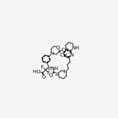 CC1(C)CN(c2cccc([C@@H](NC(=O)[C@@H]3CCCN(CCCc4ccc5c(n4)NCCC5)C3)C(F)(F)C(=O)O)c2)CCO1